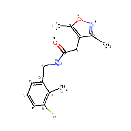 Cc1noc(C)c1CC(=O)NCc1cccc(F)c1C